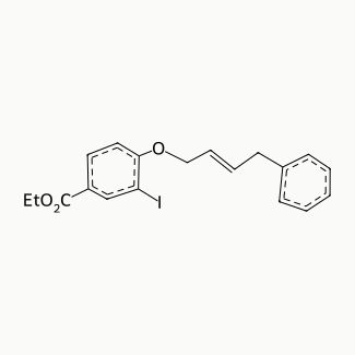 CCOC(=O)c1ccc(OCC=CCc2ccccc2)c(I)c1